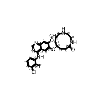 COc1cc2ncnc(Nc3cccc(Cl)c3F)c2cc1O[C@H]1CCCNCCNC(=O)CC1